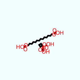 O=C(O)OC1(OC(=O)O)CCC1.O=C(O)OCCCCCCCCCCCCCCOC(=O)O